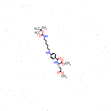 COC(=O)CC[C@H](NC(=O)c1ccc(NCCCCCCNC(=O)OC(C)(C)C)cc1)C(=O)OC